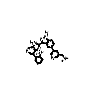 CN(C)Cc1cncc(-c2ccc3[nH]nc(C4Nc5cncc(-c6ccccc6F)c5N4)c3c2)c1